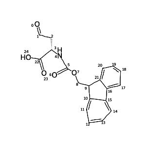 O=CC[C@H](NC(=O)OCC1c2ccccc2-c2ccccc21)C(=O)O